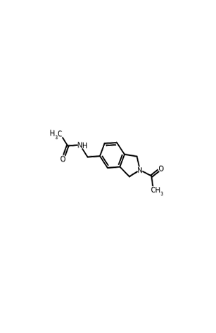 CC(=O)NCc1ccc2c(c1)CN(C(C)=O)C2